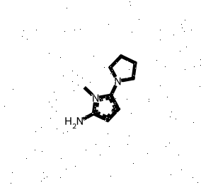 Cn1c(N)ccc1N1CCCC1